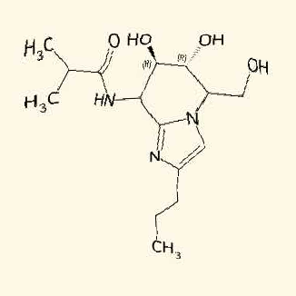 CCCc1cn2c(n1)C(NC(=O)C(C)C)[C@@H](O)[C@H](O)C2CO